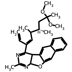 C=CC(=CC(C)[C@@H](C)CC(C)(OC)OC)C1=NC(C)=NC2Oc3cc4ccccc4cc3C12